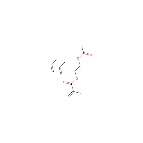 C=C(C)C(=O)OCCOC(C)=O.C=CC.C=CC